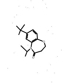 CC(C)N1C(=O)CCOc2ccc(C(C)(C)C)cc21